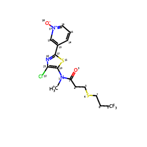 CN(C(=O)CCSCCC(F)(F)F)c1sc(-c2ccc[n+]([O-])c2)nc1Cl